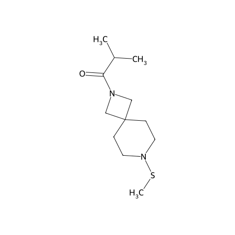 CSN1CCC2(CC1)CN(C(=O)C(C)C)C2